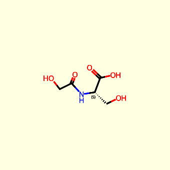 O=C(CO)N[C@@H](CO)C(=O)O